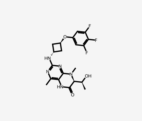 Cc1nc(N[C@H]2C[C@H](Oc3cc(F)c(F)c(F)c3)C2)nc2c1NC(=O)[C@H]([C@H](C)O)N2C